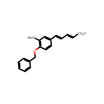 COc1cc(/C=C/C=C/C(=O)O)ccc1OCc1ccccc1